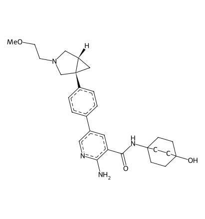 COCCN1C[C@@H]2C[C@]2(c2ccc(-c3cnc(N)c(C(=O)NC45CCC(O)(CC4)CC5)c3)cc2)C1